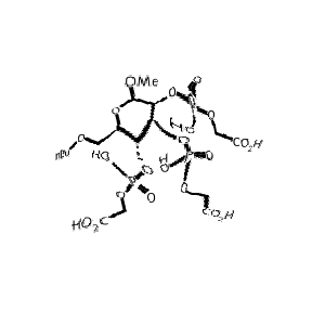 CCCCOC[C@H]1OC(OC)[C@@H](OP(=O)(O)OCC(=O)O)[C@@H](OP(=O)(O)OCC(=O)O)[C@@H]1OP(=O)(O)OCC(=O)O